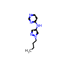 CCCCn1cc(Nc2ccncn2)cn1